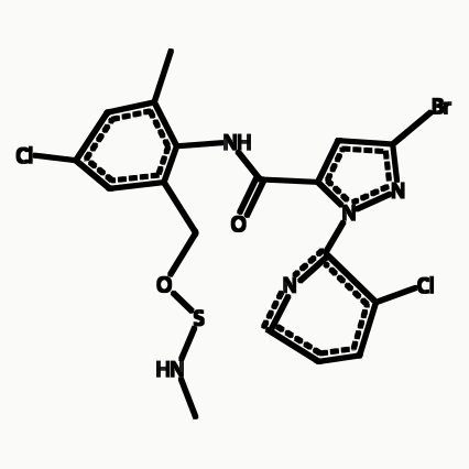 CNSOCc1cc(Cl)cc(C)c1NC(=O)c1cc(Br)nn1-c1ncccc1Cl